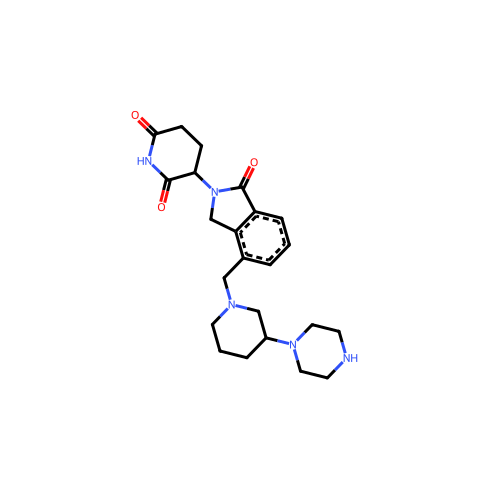 O=C1CCC(N2Cc3c(CN4CCCC(N5CCNCC5)C4)cccc3C2=O)C(=O)N1